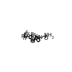 NC(=O)CCNc1cccc(C(=O)Nc2c(Br)cc(C(F)(C(F)(F)F)C(F)(F)F)cc2Br)c1F